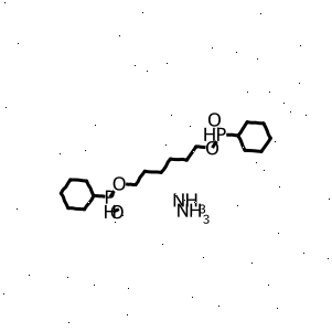 N.N.O=[PH](OCCCCCCO[PH](=O)C1CCCCC1)C1CCCCC1